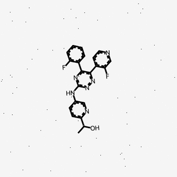 CC(O)c1ccc(Nc2nnc(-c3ccncc3F)c(-c3ccccc3F)n2)cn1